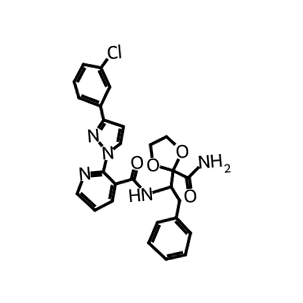 NC(=O)C1(C(Cc2ccccc2)NC(=O)c2cccnc2-n2ccc(-c3cccc(Cl)c3)n2)OCCO1